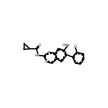 COc1cc2nc(NC(=O)C3CC3)ncc2cc1-c1ccccc1Cl